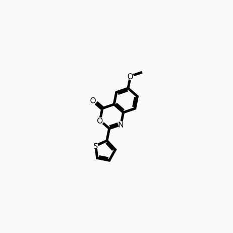 COc1ccc2nc(-c3cccs3)oc(=O)c2c1